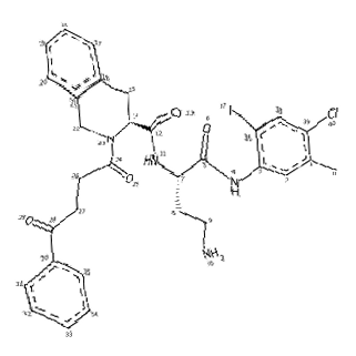 Cc1cc(NC(=O)[C@H](CCN)NC(=O)[C@@H]2Cc3ccccc3CN2C(=O)CCC(=O)c2ccccc2)c(I)cc1Cl